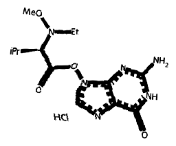 CCN(OC)[C@@H](C(=O)On1cnc2c(=O)[nH]c(N)nc21)C(C)C.Cl